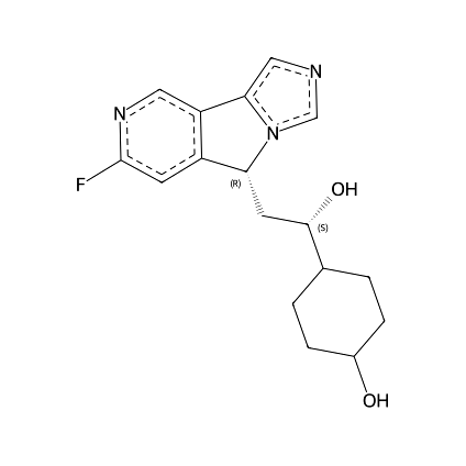 OC1CCC([C@@H](O)C[C@@H]2c3cc(F)ncc3-c3cncn32)CC1